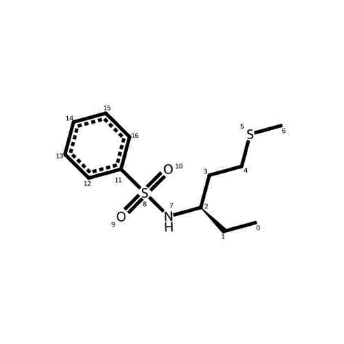 CC[C@H](CCSC)NS(=O)(=O)c1ccccc1